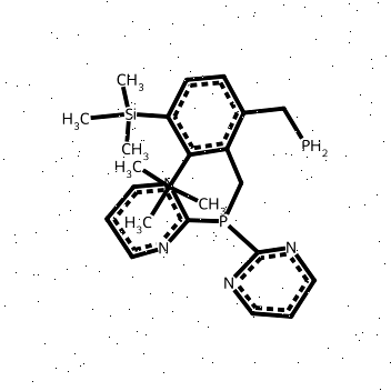 CC(C)(C)c1c([Si](C)(C)C)ccc(CP)c1CP(c1ncccn1)c1ncccn1